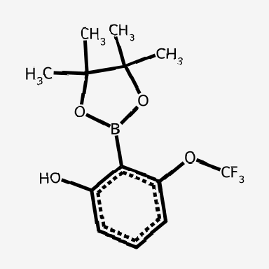 CC1(C)OB(c2c(O)cccc2OC(F)(F)F)OC1(C)C